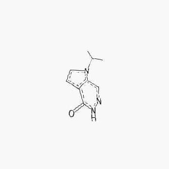 CC(C)n1ccc2c(=O)[nH]ncc21